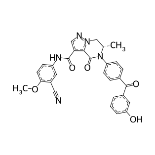 COc1ccc(NC(=O)c2cnn3c2C(=O)N(c2ccc(C(=O)c4cccc(O)c4)cc2)[C@@H](C)C3)cc1C#N